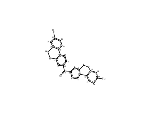 O=C(c1ccc2c(c1)CCc1cc(F)ccc1-2)c1ccc2c(c1)CCc1cc(F)ccc1-2